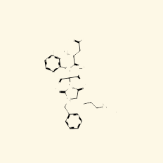 CC(=O)[C@](C(=O)O)(N1C(=O)[C@H](CCCN)N(Cc2ccccc2)C1=O)N(C(=O)[C@@H](N)CC(=O)O)c1ccccc1